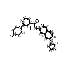 CN1CCN(c2cc(C(=O)Nc3cc4cc(-n5cncn5)cnc4cn3)ccn2)CC1